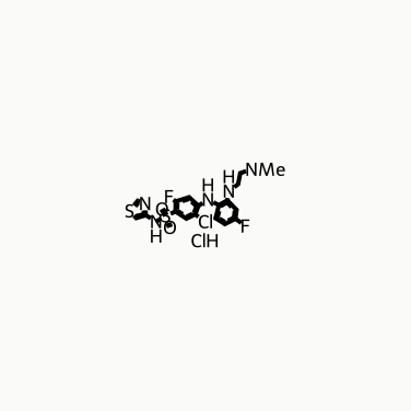 CNCCNc1cc(F)ccc1Nc1cc(F)c(S(=O)(=O)Nc2cscn2)cc1Cl.Cl